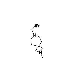 CC(C)CN1CCC2(CC1)CN(C)C2